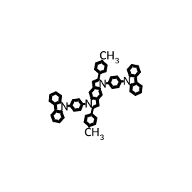 Cc1ccc(-c2cc3cc4c(cc(-c5ccc(C)cc5)n4-c4ccc(-n5c6ccccc6c6ccccc65)cc4)cc3n2-c2ccc(-n3c4ccccc4c4ccccc43)cc2)cc1